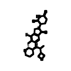 CC(N[C@H]1CCCO[C@@H]1Cc1ccc2c(c1F)CN(C1CCC(=O)NC1=O)C2=O)C1COC1